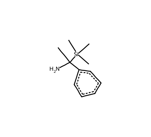 CC(N)(c1ccccc1)[Si](C)(C)C